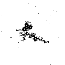 COc1ccc(C(OC[C@H]2O[C@@H](n3cnc4c(-c5cccc(CCC(=O)OCCC#N)c5)ncnc43)C[C@@H]2OP(OCCC#N)N(C(C)C)C(C)C)(c2ccccc2)c2ccc(OC)cc2)cc1